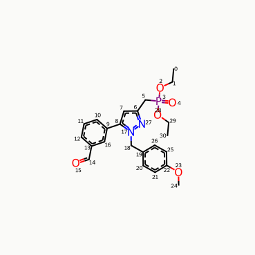 CCOP(=O)(Cc1cc(-c2cccc(C=O)c2)n(Cc2ccc(OC)cc2)n1)OCC